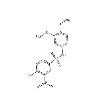 COc1ccc(NS(=O)(=O)c2ccc(Cl)c([N+](=O)[O-])c2)cc1OC